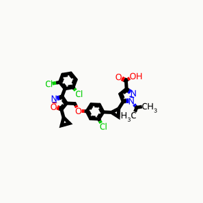 CC(C)n1nc(C(=O)O)cc1C1CC1c1ccc(OCc2c(-c3c(Cl)cccc3Cl)noc2C2CC2)cc1Cl